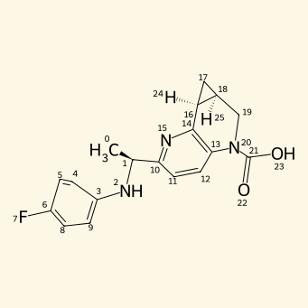 C[C@H](Nc1ccc(F)cc1)c1ccc2c(n1)[C@H]1C[C@H]1CN2C(=O)O